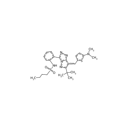 CCCCS(=O)(=O)Nc1ccccc1-c1nnc2/c(=C\c3ccc(N(C)C)s3)c(C(C)(C)C)nn12